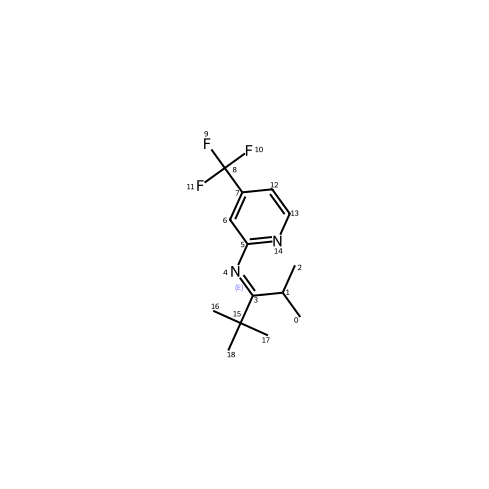 CC(C)/C(=N\c1cc(C(F)(F)F)ccn1)C(C)(C)C